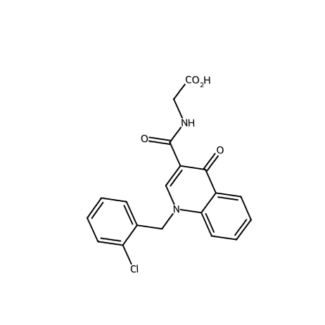 O=C(O)CNC(=O)c1cn(Cc2ccccc2Cl)c2ccccc2c1=O